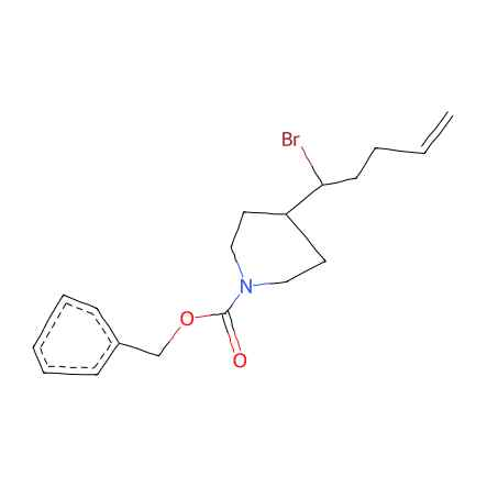 C=CCCC(Br)C1CCN(C(=O)OCc2ccccc2)CC1